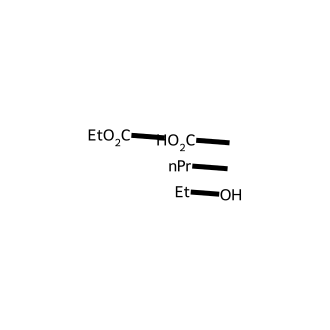 CC(=O)O.CCCC.CCO.CCOC(C)=O